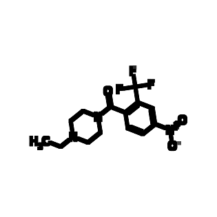 CCN1CCN(C(=O)c2ccc([N+](=O)[O-])cc2C(F)(F)F)CC1